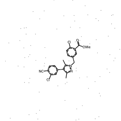 COC(=O)c1cc(Cn2nc(C)c(-c3ccc(C#N)c(Cl)c3)c2C)ccc1Cl